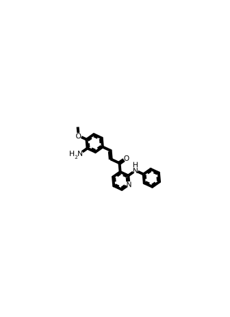 COc1ccc(C=CC(=O)c2cccnc2Nc2ccccc2)cc1N